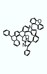 O=C1c2c(ccc3c2c2ccccc2n3-c2cccc3oc4ccccc4c23)-c2ccc3c(c2C1Cc1nc(-c2ccccc2)cc(-c2ccccc2)n1)C1C=CC=CC1CC3c1ccccc1